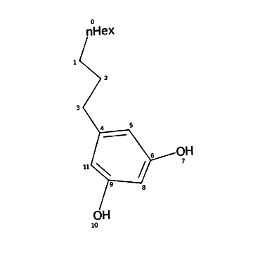 CCCCCCCCCc1cc(O)cc(O)c1